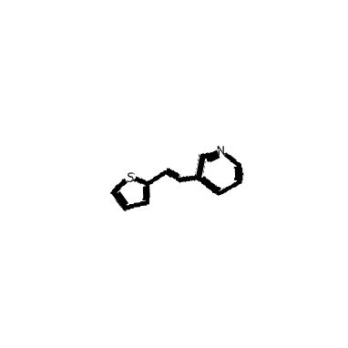 C(=Cc1cccs1)c1cccnc1